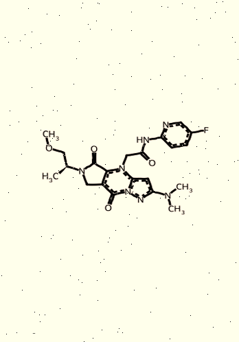 COC[C@H](C)N1Cc2c(n(CC(=O)Nc3ccc(F)cn3)c3cc(N(C)C)nn3c2=O)C1=O